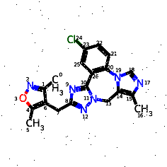 Cc1noc(C)c1Cc1nc2n(n1)Cc1c(C)ncn1-c1ccc(Cl)cc1-2